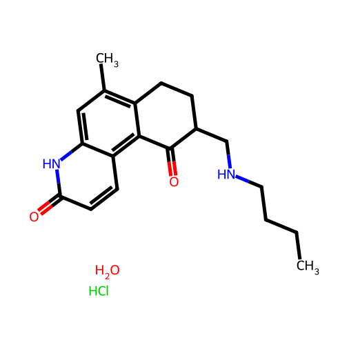 CCCCNCC1CCc2c(C)cc3[nH]c(=O)ccc3c2C1=O.Cl.O